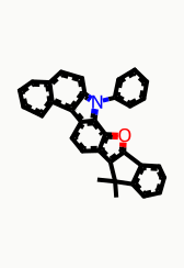 CC1(C)c2ccccc2-c2oc3c(ccc4c5c6ccccc6ccc5n(-c5ccccc5)c43)c21